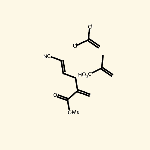 C=C(C)C(=O)O.C=C(CC=CC#N)C(=O)OC.C=C(Cl)Cl